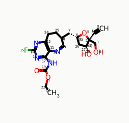 C#C[C@]1(CO)O[C@@H](CC2C=Nc3c(nc(F)nc3NC(=O)OCC)CC2)C[C@@H]1O